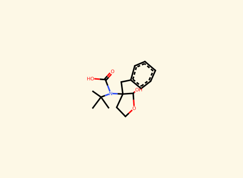 CC(C)(C)N(C(=O)O)C1(Cc2ccccc2)CCOC1O